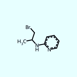 CC(CBr)Nc1ccccn1